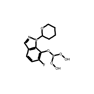 OOB(OO)Oc1c(F)ccc2cnn(C3CCCCO3)c12